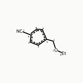 [CH2]COCc1ccc(C#N)cc1